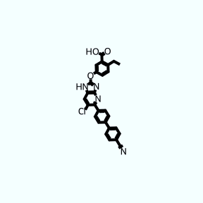 CCc1ccc(Oc2nc3nc(-c4ccc(-c5ccc(C#N)cc5)cc4)c(Cl)cc3[nH]2)cc1C(=O)O